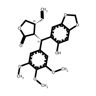 C=C[C@H]1COC(=O)C1[C@@H](c1cc(OC)c(OC)c(OC)c1)c1cc2c(cc1O)OCO2